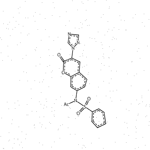 CC(=O)N(c1ccc2cc(-n3cncn3)c(=O)oc2c1)S(=O)(=O)c1ccccc1